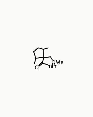 CCCC(=O)C1(COC)C(C)CCC1C